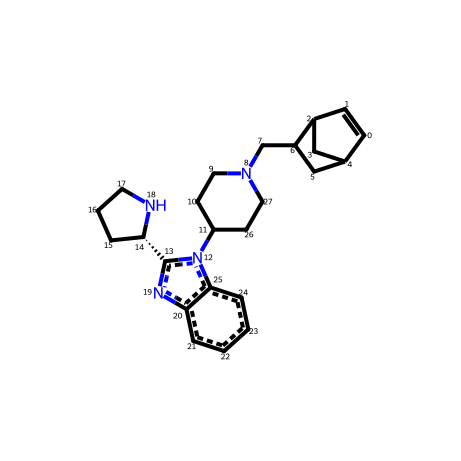 C1=CC2CC1CC2CN1CCC(n2c([C@@H]3CCCN3)nc3ccccc32)CC1